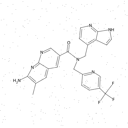 Cc1cc2cc(C(=O)N(Cc3ccc(C(F)(F)F)cn3)Cc3ccnc4[nH]ccc34)cnc2nc1N